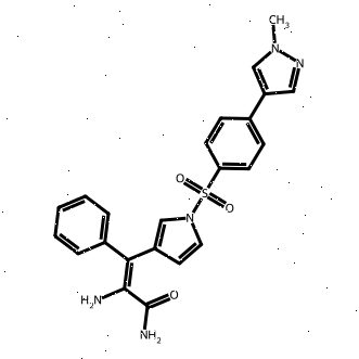 Cn1cc(-c2ccc(S(=O)(=O)n3ccc(/C(=C(/N)C(N)=O)c4ccccc4)c3)cc2)cn1